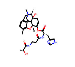 Cc1ccc2c3c1O[C@H]1C(OC(=O)[C@H](Cc4c[nH]cn4)NC(=O)CCNC(=O)[C@H](C)O)=CC[C@@]4(O)[C@@H](C2)N(C)CC[C@]314